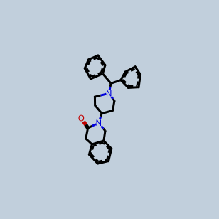 O=C1Cc2ccccc2CN1C1CCN(C(c2ccccc2)c2ccccc2)CC1